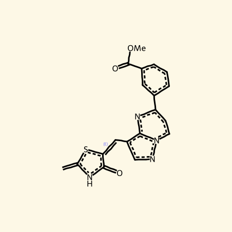 C=c1[nH]c(=O)/c(=C\c2cnn3ccc(-c4cccc(C(=O)OC)c4)nc23)s1